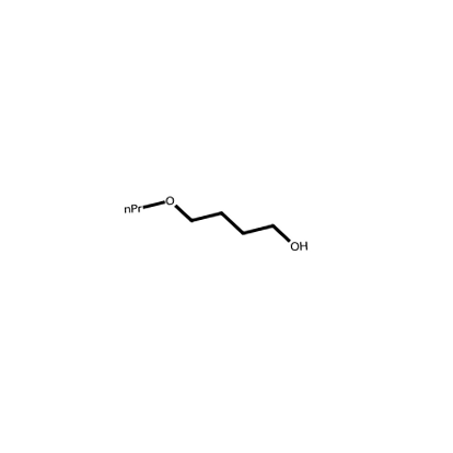 CCCOCCCCO